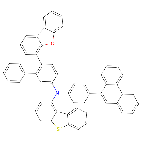 c1ccc(-c2cc(N(c3ccc(-c4cc5ccccc5c5ccccc45)cc3)c3cccc4sc5ccccc5c34)ccc2-c2cccc3c2oc2ccccc23)cc1